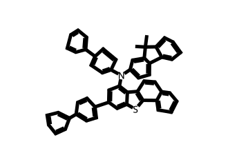 CC1(C)c2ccccc2-c2ccc(N(c3ccc(-c4ccccc4)cc3)c3cc(-c4ccc(-c5ccccc5)cc4)cc4sc5c6ccccc6ccc5c34)cc21